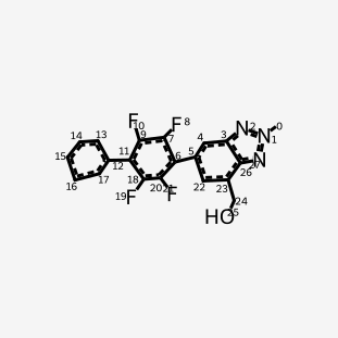 Cn1nc2cc(-c3c(F)c(F)c(-c4ccccc4)c(F)c3F)cc(CO)c2n1